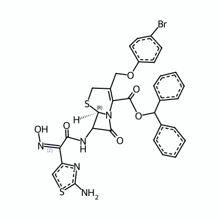 Nc1nc(/C(=N/O)C(=O)NC2C(=O)N3C(C(=O)OC(c4ccccc4)c4ccccc4)=C(COc4ccc(Br)cc4)CS[C@H]23)cs1